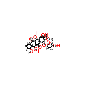 COc1cccc2c1C(=O)c1c(O)c3c(c(O)c1C2=O)C[C@@](O)(C(C)=O)C[C@@H]3O[C@H]1CC[C@H](O)[C@H](C)O1